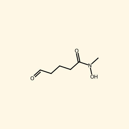 CN(O)C(=O)CCCC=O